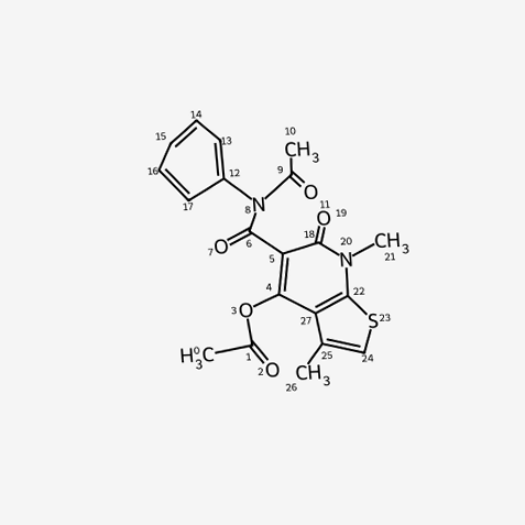 CC(=O)Oc1c(C(=O)N(C(C)=O)c2ccccc2)c(=O)n(C)c2scc(C)c12